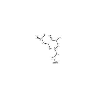 C=CC(C)CC(CCCC(=C)C)CCC(C)C